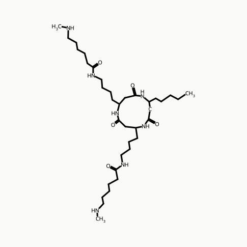 CCCCCC1CC(=O)NC(CCCCNC(=O)CCCCCNC)CC(=O)NC(CCCCNC(=O)CCCCCNC)CC(=O)N1